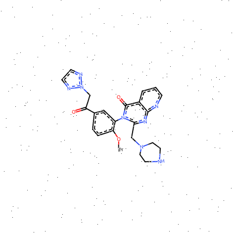 CC(C)Oc1ccc(C(=O)Cn2nccn2)cc1-n1c(CN2CCNCC2)nc2ncccc2c1=O